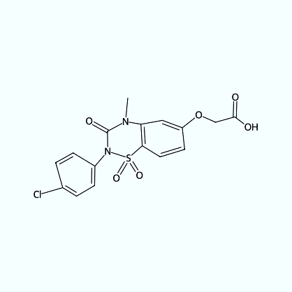 CN1C(=O)N(c2ccc(Cl)cc2)S(=O)(=O)c2ccc(OCC(=O)O)cc21